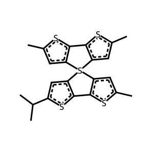 Cc1cc2c(s1)-c1sc(C)cc1S21c2cc(C)sc2-c2sc(C(C)C)cc21